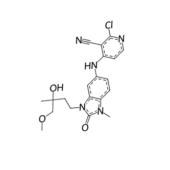 COCC(C)(O)CCn1c(=O)n(C)c2ccc(Nc3ccnc(Cl)c3C#N)cc21